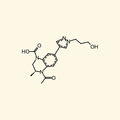 CC(=O)N1c2ccc(-c3cnn(CCCO)c3)cc2N(C(=O)O)C[C@@H]1C